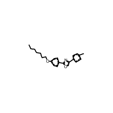 CCCCCCCOc1ccc(-c2nc(-c3ccc(C)cc3)co2)cc1